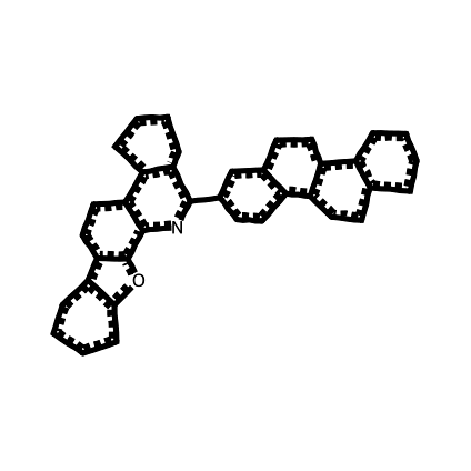 c1ccc2c(c1)ccc1c3ccc(-c4nc5c(ccc6c7ccccc7oc65)c5ccccc45)cc3ccc21